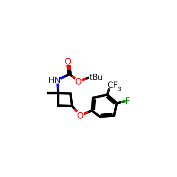 CC1(NC(=O)OC(C)(C)C)CC(Oc2ccc(F)c(C(F)(F)F)c2)C1